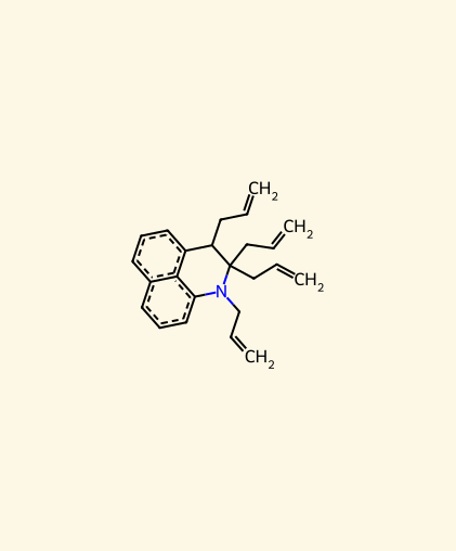 C=CCC1c2cccc3cccc(c23)N(CC=C)C1(CC=C)CC=C